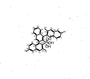 Cc1ccc2cc(-c3c(P(O)(O)(O)c4cc5ccc(C)cc5cc4C)ccc4ccccc34)c(C)cc2c1